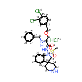 CS(=O)(=O)[N+]1(NC(=O)C(COCc2ccc(Cl)c(Cl)c2)NCc2ccccc2)CC2(CCNCC2)c2ccccc21.Cl